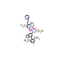 Cc1cc(F)cc(C)c1-c1cc([C@H](CC(=O)O)NC(=O)[C@H](CC(C)C)n2cc(CCc3ccccn3)c(C(F)(F)F)cc2=O)cc2c1CCC2